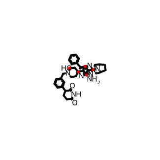 Nc1nnc(-c2ccccc2O)cc1N1CC2CCC(C1)N2c1ncc(C2CCN(Cc3cccc(C4CCC(=O)NC4=O)c3)CC2)cn1